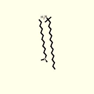 CCCCCCCCCCCCCCCC(C)(C)N.CCCCCCCCCCCCN(C)C